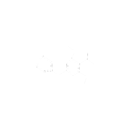 COc1cc(Oc2ccccc2)cc(OC)c1C(C)C